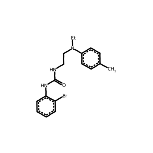 CCN(CCNC(=O)Nc1ccccc1Br)c1ccc(C)cc1